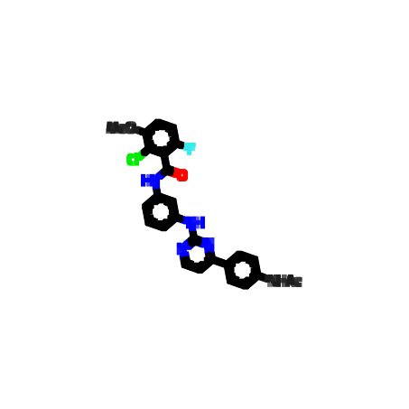 COc1ccc(F)c(C(=O)Nc2cccc(Nc3nccc(-c4ccc(NC(C)=O)cc4)n3)c2)c1Cl